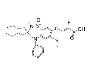 CCCCC1(CCCC)CN(c2ccccc2)c2cc(SC)c(O/C=C(\F)C(=O)O)cc2[S+]([O-])N1C